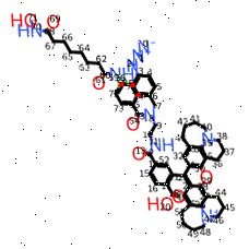 [N-]=[N+]=Nc1ccc(CN(CCNC(=O)c2ccc(C(=O)O)c(C3=c4cc5c6c(c4Oc4c3cc3c7c4CCCN7CCCC3)CCC[N+]=6CCCC5)c2)C(=O)c2ccc(NC(=O)CCCCCCC(=O)NO)cc2)cc1F